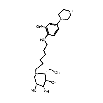 O=Nc1cc(N2CCNCC2)ccc1NCCCCCCN1C[C@H](O)[C@@H](O)[C@H](O)[C@H]1CO